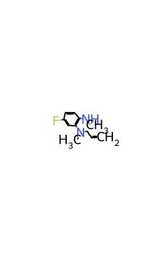 C=CCN(C)c1cc(F)ccc1NC